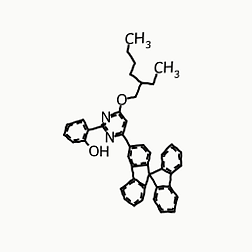 CCCCC(CC)COc1cc(-c2ccc3c(c2)-c2ccccc2C32c3ccccc3-c3ccccc32)nc(-c2ccccc2O)n1